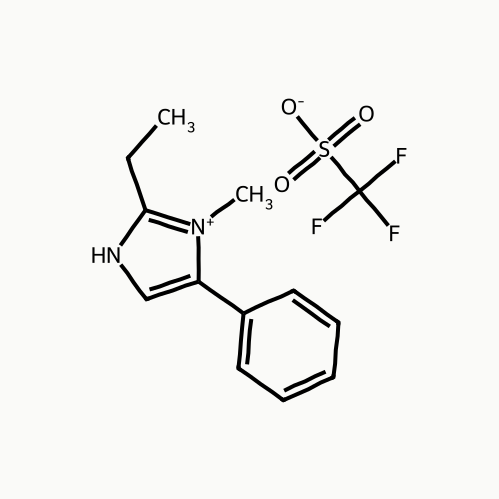 CCc1[nH]cc(-c2ccccc2)[n+]1C.O=S(=O)([O-])C(F)(F)F